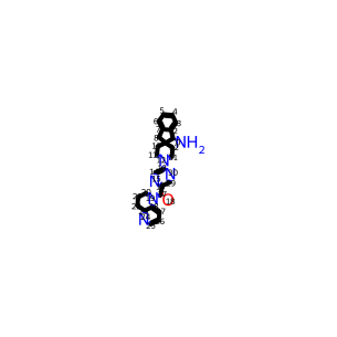 N[C@@H]1c2ccccc2CC12CCN(c1cnc(C(=O)N3CCCc4ncccc43)cn1)CC2